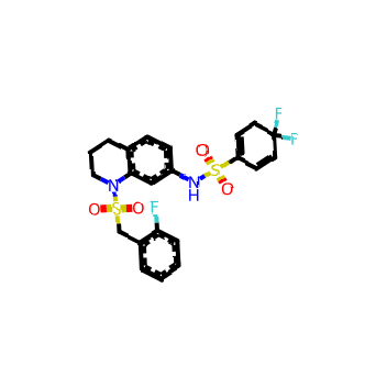 O=S(=O)(Nc1ccc2c(c1)N(S(=O)(=O)Cc1ccccc1F)CCC2)C1=CCC(F)(F)C=C1